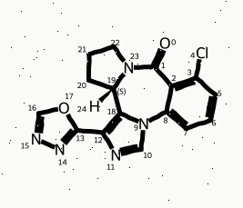 O=C1c2c(Cl)cccc2-n2cnc(-c3nnco3)c2[C@@H]2CCCN12